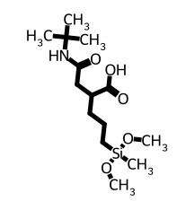 CO[Si](C)(CCCC(CC(=O)NC(C)(C)C)C(=O)O)OC